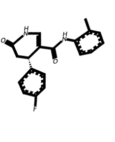 Cc1ccccc1NC(=O)C1=CNC(=O)C[C@H]1c1ccc(F)cc1